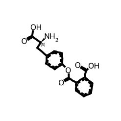 N[C@@H](Cc1ccc(OC(=O)c2ccccc2C(=O)O)cc1)C(=O)O